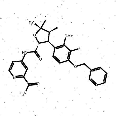 COc1c([C@H]2[C@H](C(=O)Nc3ccnc(C(N)=O)c3)O[C@@](C)(C(F)(F)F)[C@H]2C)ccc(OCc2ccccc2)c1F